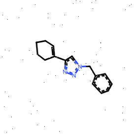 C1=C(c2cn(Cc3ccccc3)nn2)CCCC1